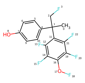 CC(CF)(c1ccc(O)cc1)c1c(F)c(F)c(OF)c(F)c1F